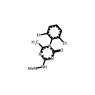 CCc1cccc(CC)c1-n1c(C)nc(NNC)nc1=O